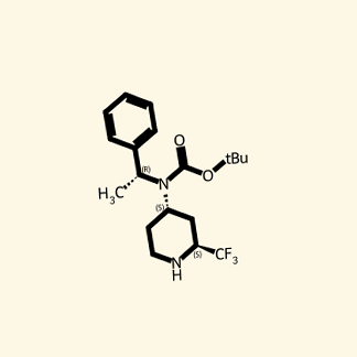 C[C@H](c1ccccc1)N(C(=O)OC(C)(C)C)[C@H]1CCN[C@H](C(F)(F)F)C1